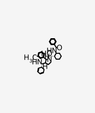 Cc1cccc2c1N[C@@H](C1C=CC=CC1)[C@H]1CCN(C(O)[C@H]3CCCC[C@H]3NC(=O)c3ccccc3)[C@@H]21